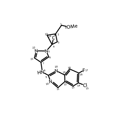 COCC12CC(n3cc(Nc4ncc5cc(Cl)c(F)cc5n4)cn3)(C1)C2